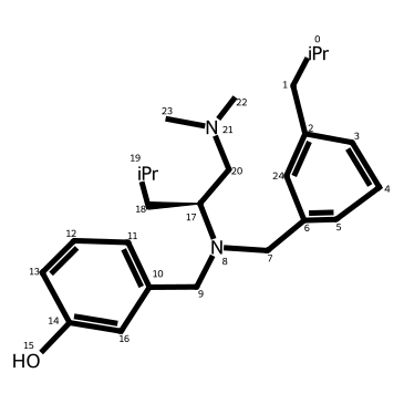 CC(C)Cc1cccc(CN(Cc2cccc(O)c2)[C@@H](CC(C)C)CN(C)C)c1